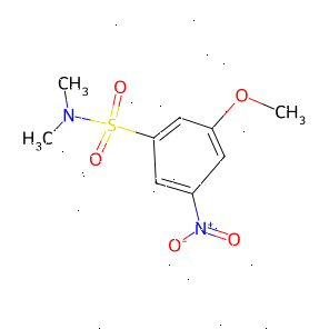 COc1cc([N+](=O)[O-])cc(S(=O)(=O)N(C)C)c1